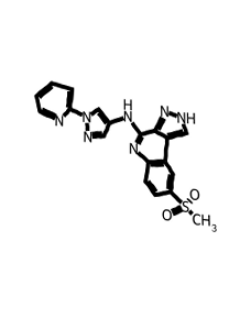 CS(=O)(=O)c1ccc2nc(Nc3cnn(-c4ccccn4)c3)c3n[nH]cc3c2c1